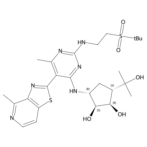 Cc1nc(NCCS(=O)(=O)C(C)(C)C)nc(N[C@@H]2C[C@H](C(C)(C)O)[C@@H](O)[C@H]2O)c1-c1nc2c(C)nccc2s1